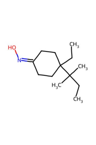 CCC(C)(C)C1(CC)CCC(=NO)CC1